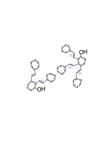 Oc1ccc(/C=C/c2ccccc2)c(/C=C/c2ccccc2)c1/C=C/c1ccccc1.Oc1cccc(/C=C/c2ccccc2)c1/C=C/c1ccccc1